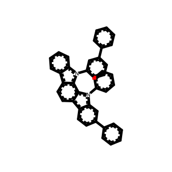 c1ccc(-c2cccc(-n3c4ccccc4c4ccc5c6ccc(-c7ccccc7)cc6n(-c6ccccc6)c5c43)c2)cc1